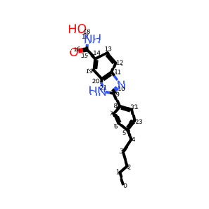 CCCCCc1ccc(-c2nc3ccc(C(=O)NO)cc3[nH]2)cc1